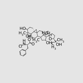 CC(C)(O)[C@@H]1CC[C@](C)([C@H]2[C@@H](O)C[C@@]3(C)C4C[C@H](OC(=O)[C@@H](Cc5ccccc5)NCl)[C@H]5C(C)(C)[C@@H](O)CC[C@@]56CC46CC[C@]23C)O1